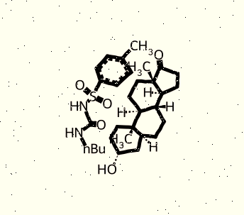 CCCCNC(=O)NS(=O)(=O)c1ccc(C)cc1.C[C@]12CC[C@@H](O)C[C@@H]1CC[C@@H]1[C@@H]2CC[C@]2(C)C(=O)CC[C@@H]12